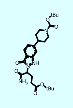 CC(C)(C)OC(=O)CCC(C(N)=O)n1[nH]c2cc(C3CCN(C(=O)OC(C)(C)C)CC3)ccc2c1=O